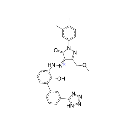 COCC1=NN(c2ccc(C)c(C)c2)C(=O)/C1=N\Nc1cccc(-c2cccc(-c3nnn[nH]3)c2)c1O